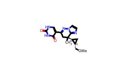 COC[C@H]1C[C@@H]1C1(C)CC(c2c[nH]c(=O)[nH]c2=O)=Nn2ccnc21